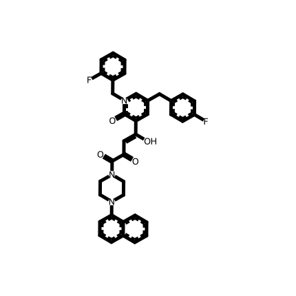 O=C(/C=C(\O)c1cc(Cc2ccc(F)cc2)cn(Cc2ccccc2F)c1=O)C(=O)N1CCN(c2cccc3ccccc23)CC1